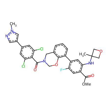 COC(=O)c1cc(F)c(-c2cccc3c2OCN(C(=O)c2c(Cl)cc(-c4cnn(C)c4)cc2Cl)C3)cc1NC1(C)COC1